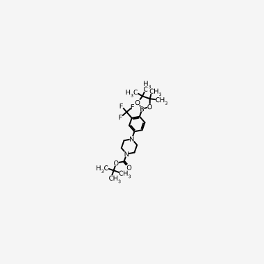 CC(C)(C)OC(=O)N1CCN(c2ccc(B3OC(C)(C)C(C)(C)O3)c(C(F)(F)F)c2)CC1